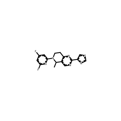 CC1c2cnc(-c3cscn3)nc2CCN1c1cc(F)cc(F)n1